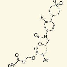 CCCC(=O)OCOC(=O)N(C[C@H]1CN(c2ccc(C3CCS(=O)(=O)CC3)c(F)c2)C(=O)O1)C(C)=O